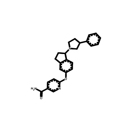 NC(=O)c1ccc(Oc2ccc3c(c2)CCC3N2CCC(c3ccccc3)C2)nc1